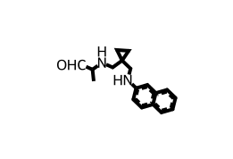 CC(C=O)NCC1(CNc2ccc3ccccc3c2)CC1